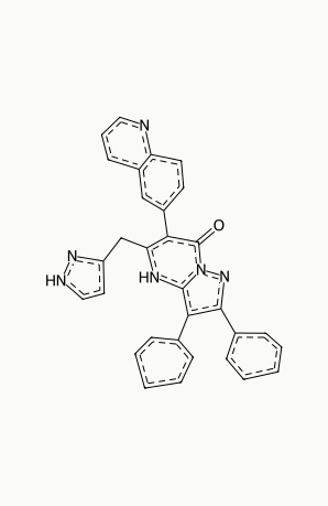 O=c1c(-c2ccc3ncccc3c2)c(Cc2cc[nH]n2)[nH]c2c(-c3ccccc3)c(-c3ccccc3)nn12